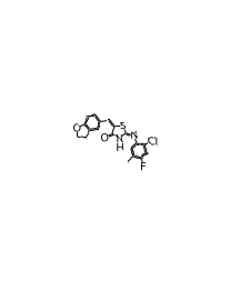 Cc1cc(N=C2NC(=O)C(=Cc3ccc4c(c3)CCO4)S2)c(Cl)cc1F